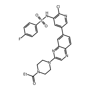 CCC(=O)N1CCN(c2cnc3ccc(-c4cnc(Cl)c(NS(=O)(=O)c5ccc(F)cc5)c4)cc3n2)CC1